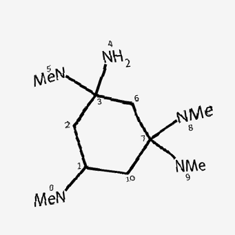 CNC1CC(N)(NC)CC(NC)(NC)C1